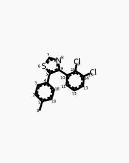 Cc1ccc(-c2s[c]nc2-c2cccc(Cl)c2Cl)cc1